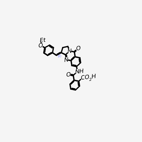 CCOc1ccc(/C=C2\CCn3c2nc2cc(NC(=O)c4ccccc4C(=O)O)ccc2c3=O)cc1